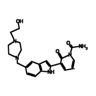 NC(=O)n1c[c]cc(-c2cc3cc(CN4CCN(CCO)CC4)ccc3[nH]2)c1=O